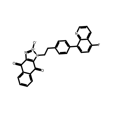 O=C1c2ccccc2C(=O)c2c1n[n+]([O-])n2CCc1ccc(-c2ccc(F)c3cccnc23)cc1